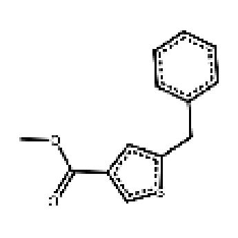 COC(=O)c1csc(Cc2ccccc2)c1